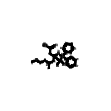 COCCN(C)CC(CC(=O)O)O[Si](c1ccccc1)(c1ccccc1)C(C)(C)C